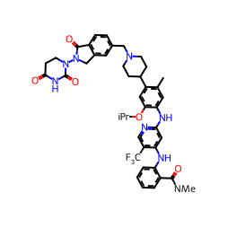 CNC(=O)c1ccccc1Nc1cc(Nc2cc(C)c(C3CCN(Cc4ccc5c(c4)CN(N4CCC(=O)NC4=O)C5=O)CC3)cc2OC(C)C)ncc1C(F)(F)F